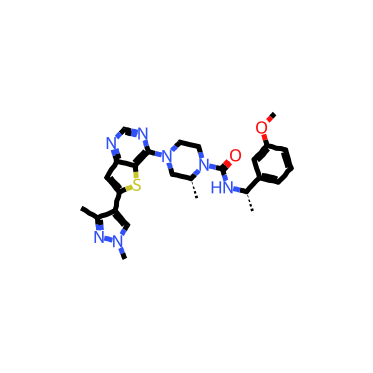 COc1cccc([C@H](C)NC(=O)N2CCN(c3ncnc4cc(-c5cn(C)nc5C)sc34)C[C@H]2C)c1